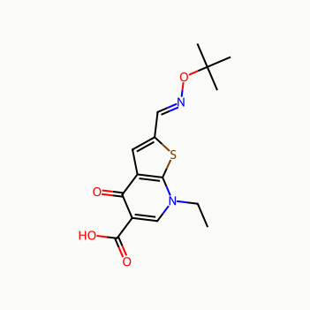 CCn1cc(C(=O)O)c(=O)c2cc(C=NOC(C)(C)C)sc21